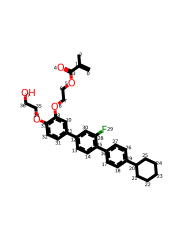 C=C(C)C(=O)OCCOc1cc(-c2ccc(-c3ccc(C4CCCCC4)cc3)c(F)c2)ccc1OCCO